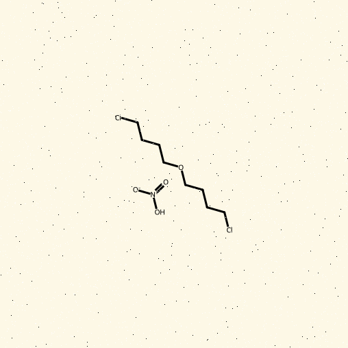 ClCCCCOCCCCCl.O=[N+]([O-])O